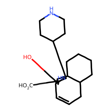 O=C(O)C1=C2C=CCC3CCCCC23NC(C2CCNCC2)=C1O